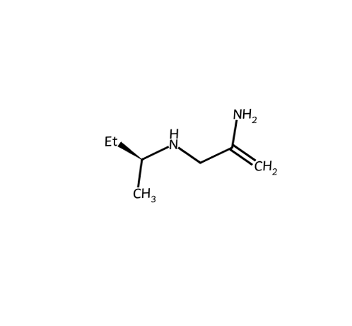 C=C(N)CN[C@@H](C)CC